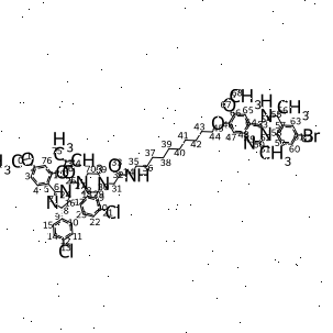 COc1ccc(C2=N[C@@H](c3ccc(Cl)cc3)[C@@H](c3ccc(Cl)cc3)N2C(=O)N2CCN(CC(=O)NCCCCCCCCCCOc3cc4nc(C)nc(N[C@H](C)c5cccc(Br)c5)c4cc3OC)CC2)c(OC(C)C)c1